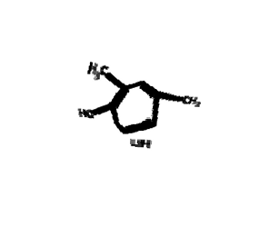 Cc1ccc(O)c(C)c1.[LiH]